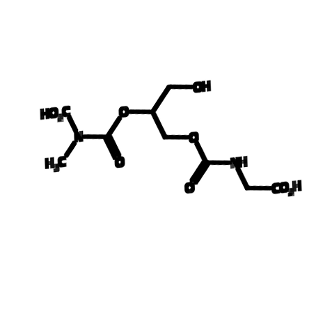 CN(C(=O)O)C(=O)OC(CO)COC(=O)NCC(=O)O